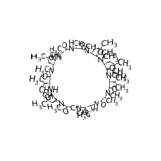 CC[C@@H]1NC(=O)C(C)N(C)C(=O)[C@H](C(C)C)N(C)C(=O)[C@H](CC(C)C)N(C)C(=O)[C@H](CC(C)C)N(C)C(=O)[C@@H](C)NC(=O)[C@H](C)NC(=O)[C@H](CC(C)C)N(C)C(=O)[C@H](C(C)C)NC(=O)[C@H](CC(C)C)N(C)C(=O)CN(C)C1=O